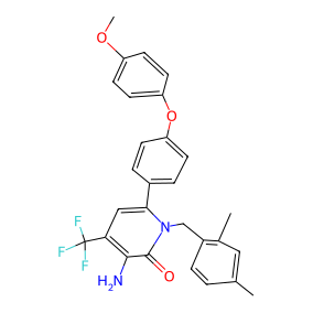 COc1ccc(Oc2ccc(-c3cc(C(F)(F)F)c(N)c(=O)n3Cc3ccc(C)cc3C)cc2)cc1